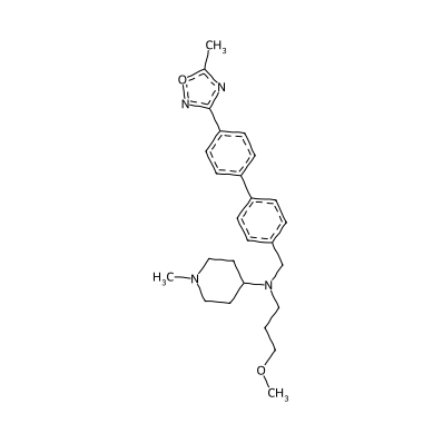 COCCCN(Cc1ccc(-c2ccc(-c3noc(C)n3)cc2)cc1)C1CCN(C)CC1